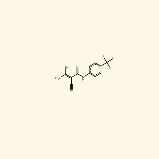 C/C(S)=C(\C#N)C(=O)Nc1ccc(C(F)(F)F)cc1